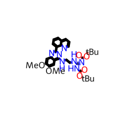 COc1cc2nc(-c3cccc4cccnc34)nc(NCCN/C(=N\C(=O)OC(C)(C)C)NC(=O)OC(C)(C)C)c2cc1OC